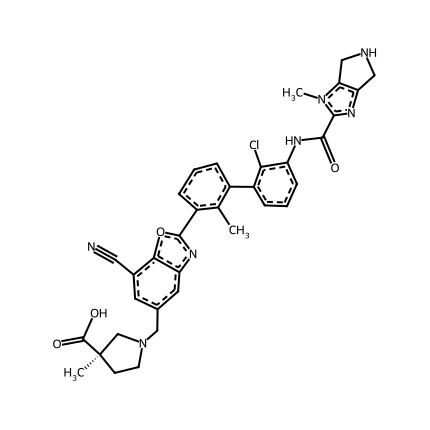 Cc1c(-c2nc3cc(CN4CC[C@@](C)(C(=O)O)C4)cc(C#N)c3o2)cccc1-c1cccc(NC(=O)c2nc3c(n2C)CNC3)c1Cl